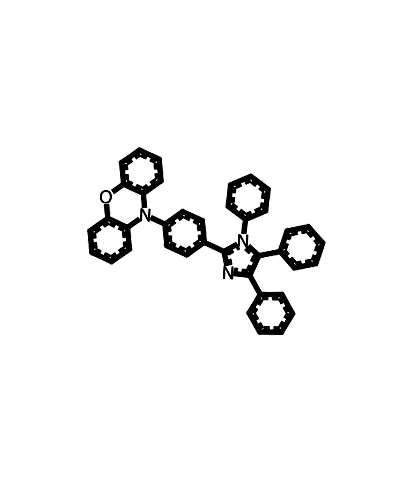 c1ccc(-c2nc(-c3ccc(N4c5ccccc5Oc5ccccc54)cc3)n(-c3ccccc3)c2-c2ccccc2)cc1